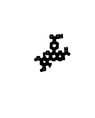 CNc1ncc2c(n1)N(C1CCN(C(=O)O)CC1)C(=O)N(c1c(F)c(OC)cc(OC)c1F)C2